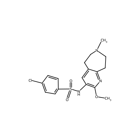 COc1nc2c(cc1NS(=O)(=O)c1ccc(Cl)cc1)CCN(C)CC2